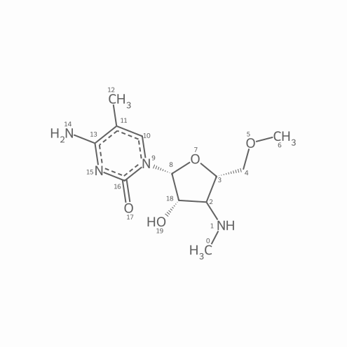 CNC1[C@@H](COC)O[C@@H](n2cc(C)c(N)nc2=O)[C@H]1O